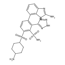 Nc1nc2cccc(-c3ccc(S(=O)(=O)C4CCC(N)CC4)c(S(N)(=O)=O)c3-c3nn[nH]n3)c2[nH]1